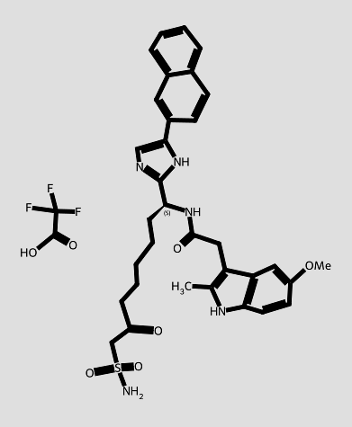 COc1ccc2[nH]c(C)c(CC(=O)N[C@@H](CCCCCC(=O)CS(N)(=O)=O)c3ncc(-c4ccc5ccccc5c4)[nH]3)c2c1.O=C(O)C(F)(F)F